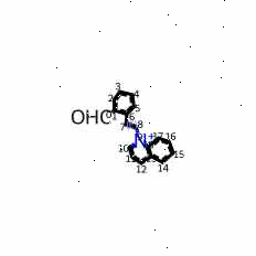 O=Cc1ccccc1/C=C/[n+]1cccc2ccccc21